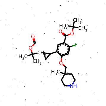 CC(C)(C)OC=O.CC1(COc2cc(F)c(C(=O)OC(C)(C)C)cc2C2CC2)CCNCC1